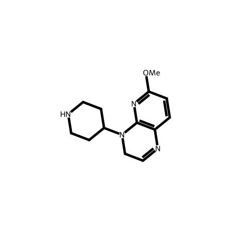 COc1ccc2c(n1)N(C1CCNCC1)CC=N2